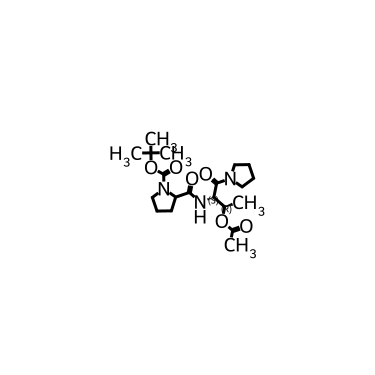 CC(=O)O[C@H](C)[C@H](NC(=O)C1CCCN1C(=O)OC(C)(C)C)C(=O)N1CCCC1